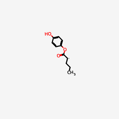 CCC[CH]C(=O)Oc1ccc(O)cc1